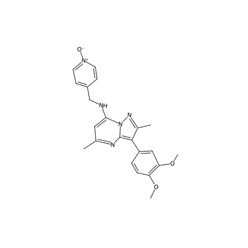 COc1ccc(-c2c(C)nn3c(NCc4cc[n+]([O-])cc4)cc(C)nc23)cc1OC